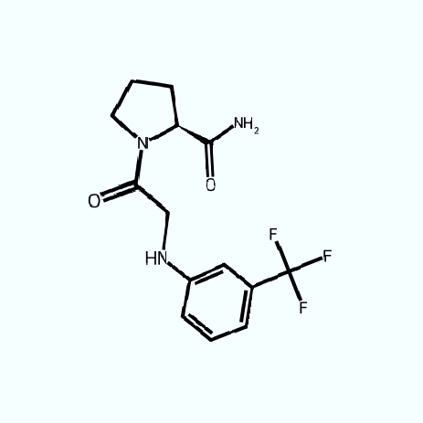 NC(=O)[C@@H]1CCCN1C(=O)CNc1cccc(C(F)(F)F)c1